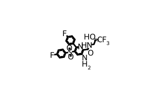 Nc1cc(S(=O)(=O)c2ccc(F)cc2)c(-c2ccc(F)cc2)nc1C(=O)NC[C@@H](O)C(F)(F)F